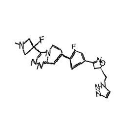 CN1CC(F)(c2nnc3cc(-c4ccc(C5=NO[C@@H](Cn6ccnn6)C5)cc4F)ccn23)C1